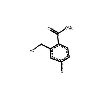 COC(=O)c1ccc(F)cc1[CH]O